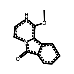 COc1[nH]ccn2c(=O)c3ccccc3c1-2